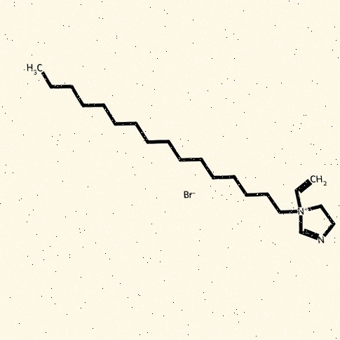 C=C[N+]1(CCCCCCCCCCCCCCCC)C=NCC1.[Br-]